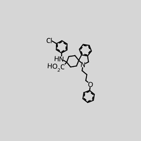 O=C(O)C1(Nc2cccc(Cl)c2)CCC2(CC1)c1ccccc1CN2CCCOc1ccccc1